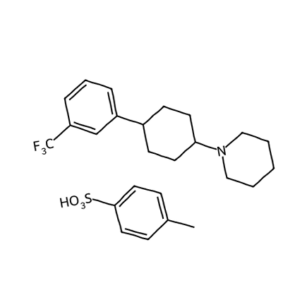 Cc1ccc(S(=O)(=O)O)cc1.FC(F)(F)c1cccc(C2CCC(N3CCCCC3)CC2)c1